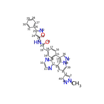 Cn1cc(-c2cc(-c3cnccn3)c3c(-c4ccc(CC(=O)Nc5cc(-c6ccccc6)no5)cc4)cnn3c2)cn1